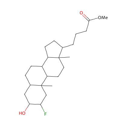 COC(=O)CCCC1CCC2C3CCC4CC(O)C(F)CC4(C)C3CCC12C